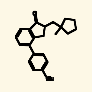 CC1(CC2Cc3c(cccc3-c3ccc(C(C)(C)C)cc3)C2=O)CCCC1